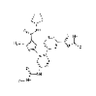 CCNC(=O)Nc1cc(-c2nc(C)c(C(=O)NC3CCCC3)s2)c(-c2cncc(-c3n[nH]c(=O)o3)c2)cn1